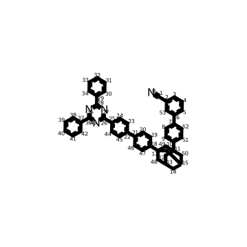 N#Cc1cccc(-c2ccc(C34CC5CC(CC(c6ccc(-c7ccc(-c8nc(-c9ccccc9)nc(-c9ccccc9)n8)cc7)cc6)(C5)C3)C4)cc2)c1